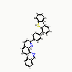 c1ccc2c(c1)cnc1c2ccc2ccc(-c3ccc(-c4cccc5c4sc4ccccc45)cc3)nc21